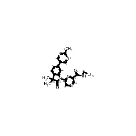 Cc1ncc(-c2ccc3c(c2)N(c2cncc(C(=O)NCC(F)(F)F)n2)C(=O)C3(C)C)cn1